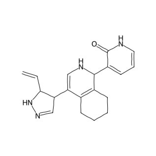 C=CC1NN=CC1C1=CNC(c2ccc[nH]c2=O)C2=C1CCCC2